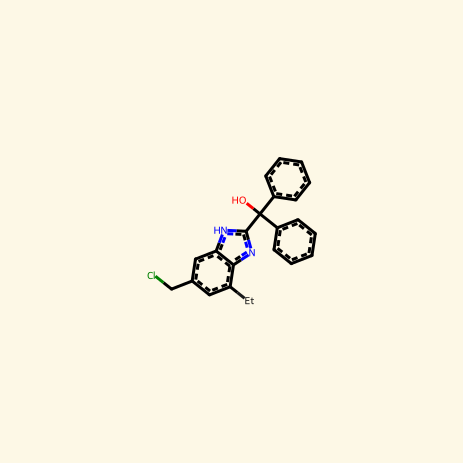 CCc1cc(CCl)cc2[nH]c(C(O)(c3ccccc3)c3ccccc3)nc12